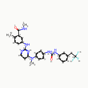 CNC(=O)c1cc(Nc2nccc(N(C)c3ccc(NC(=O)Nc4cccc(CC(F)(F)F)c4)cc3)n2)ccc1C